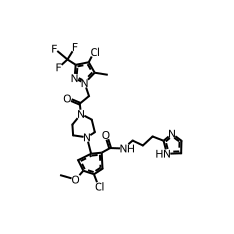 COc1cc(N2CCN(C(=O)Cn3nc(C(F)(F)F)c(Cl)c3C)CC2)c(C(=O)NCCCc2ncc[nH]2)cc1Cl